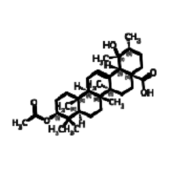 CC(=O)O[C@H]1CC[C@]2(C)[C@H]3CC=C4[C@H]5[C@](C(=O)O)(CC[C@@H](C)[C@@]5(C)O)CC[C@@]4(C)[C@]3(C)CC[C@H]2C1(C)C